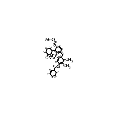 COCOC1C=CC(CC2C(C)=CC(OCC3C=CCCC3)=C(C)C2C)=NC1C1CCCC(OC)C1